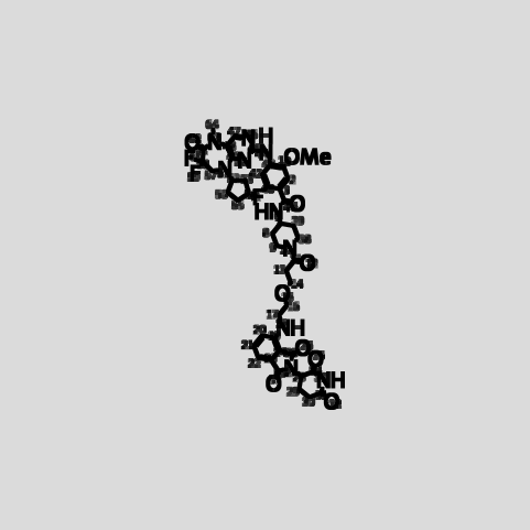 COc1cc(C(=O)NC2CCN(C(=O)CCOCCNc3cccc4c3C(=O)N(C3CCC(=O)NC3=O)C4=O)CC2)c(F)cc1Nc1ncc2c(n1)N(C1CCCC1)CC(F)(F)C(=O)N2C